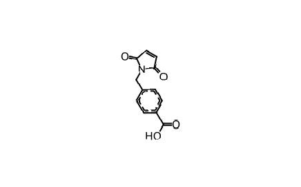 O=C(O)c1ccc(CN2C(=O)C=CC2=O)cc1